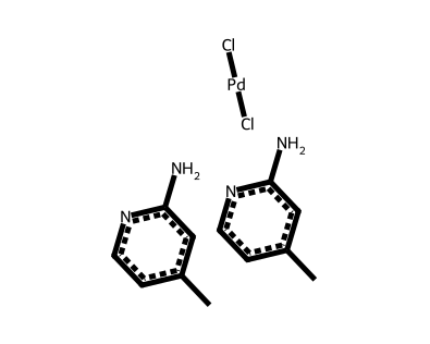 Cc1ccnc(N)c1.Cc1ccnc(N)c1.[Cl][Pd][Cl]